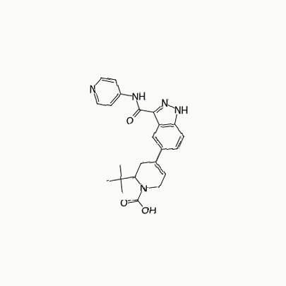 CC(C)(C)C1CC(c2ccc3[nH]nc(C(=O)Nc4ccncc4)c3c2)=CCN1C(=O)O